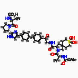 COC(=O)N[C@H](C(=O)N1CC2(CCS(O)(O)CC2)CC1C(=O)NCC(=O)c1ccc(-c2ccc(-c3c[nH]c([C@@H]4CCCN4C(=O)[C@@H](NC(=O)O)C(C)C)n3)cc2)cc1)C(C)C